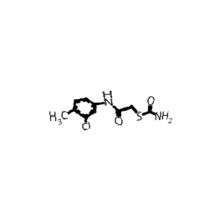 Cc1ccc(NC(=O)CSC(N)=O)cc1Cl